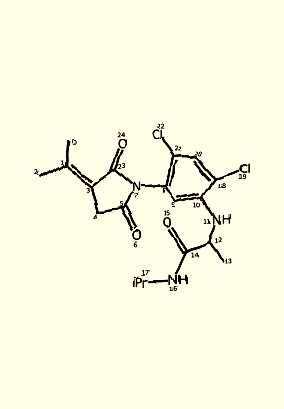 CC(C)=C1CC(=O)N(c2cc(NC(C)C(=O)NC(C)C)c(Cl)cc2Cl)C1=O